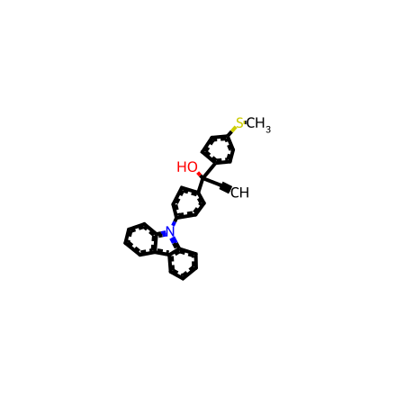 C#CC(O)(c1ccc(SC)cc1)c1ccc(-n2c3ccccc3c3ccccc32)cc1